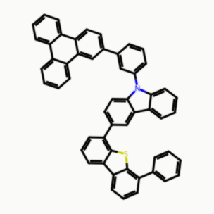 c1ccc(-c2cccc3c2sc2c(-c4ccc5c(c4)c4ccccc4n5-c4cccc(-c5ccc6c7ccccc7c7ccccc7c6c5)c4)cccc23)cc1